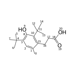 Cc1cc(C(C)(C)C)c(O)c(C(C)(C)C)c1CCC(=O)O